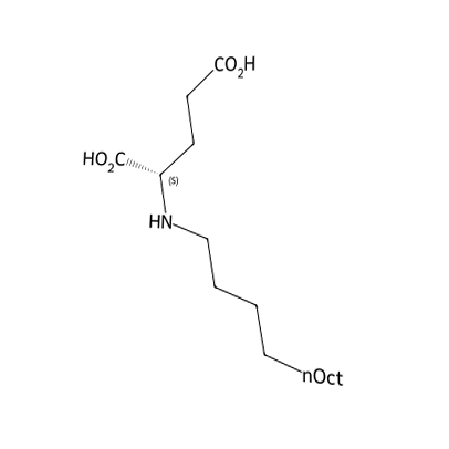 CCCCCCCCCCCCN[C@@H](CCC(=O)O)C(=O)O